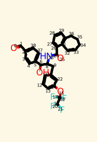 O=Cc1ccc(C(O)C(Cc2cccc(OC(F)(F)C(F)F)c2)NC(=O)c2cccc3c2C=CCCC3)cc1